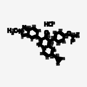 Cl.Cn1cc2cc(-c3nn4ccc(C5CC5)nc4c(-c4ccc(OC(F)F)cc4)c3=O)ccc2n1